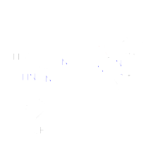 Cc1[nH]c(-c2ccc(C(F)(F)F)cc2)nc1CN1CCC(N(Cc2ccccc2)C(=O)Nc2cccc(Cl)c2)CC1